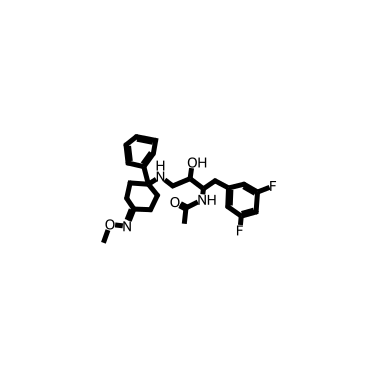 CON=C1CCC(NCC(O)C(Cc2cc(F)cc(F)c2)NC(C)=O)(c2ccccc2)CC1